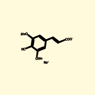 COc1cc(/C=C/C(=O)[O-])cc(OC)c1C#N.[Na+]